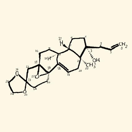 C=CC[C@]1(O)CC[C@H]2[C@@H]3CC[C@@]45CC6(CC[C@@]4(O5)C3=CC[C@@]21C)OCCO6